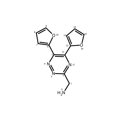 NCc1nnc(-c2ccco2)c(-c2ccco2)n1